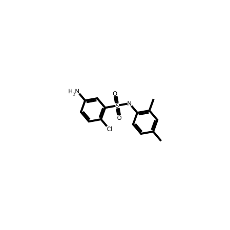 Cc1ccc([N]S(=O)(=O)c2cc(N)ccc2Cl)c(C)c1